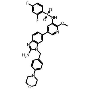 COc1ncc(-c2ccc3nc(N)n(Cc4ccc(N5CCOCC5)cc4)c3c2)cc1NS(=O)(=O)c1ccc(F)cc1F